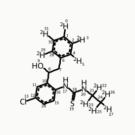 [2H]c1c([2H])c([2H])c(CC(O)c2cc(Cl)ccc2NC(=S)NC([2H])([2H])C([2H])([2H])[2H])c([2H])c1[2H]